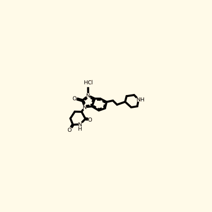 Cl.Cn1c(=O)n(C2CCC(=O)NC2=O)c2ccc(CCC3CCNCC3)cc21